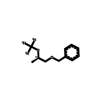 [2H]C([2H])([2H])O[C@H](C)COCc1ccccc1